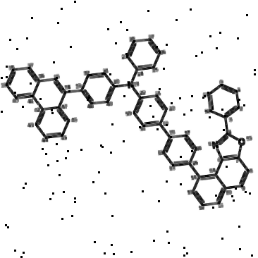 c1ccc(-c2nc3c(ccc4cccc(-c5ccc(-c6ccc(N(c7ccccc7)c7ccc(-c8cc9ccccc9c9ccccc89)cc7)cc6)cc5)c43)o2)cc1